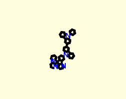 c1ccc(-n2c3ccccc3c3cc(-c4ccc5c(c4)c4ccccc4n5-c4ccc5c(c4)-c4ncccc4C5(c4ccccn4)c4ccccn4)ccc32)cc1